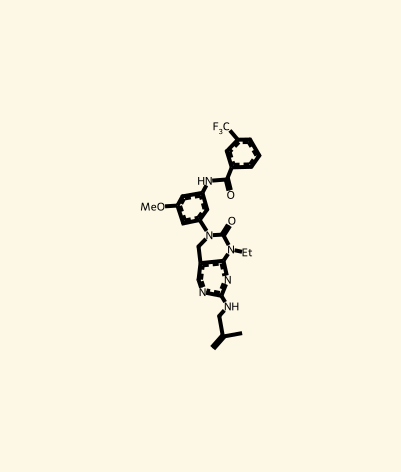 C=C(C)CNc1ncc2c(n1)N(CC)C(=O)N(c1cc(NC(=O)c3cccc(C(F)(F)F)c3)cc(OC)c1)C2